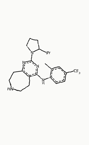 Cc1cc(C(F)(F)F)ccc1Nc1nc(N2CCCC2C(C)C)nc2c1CCNCC2